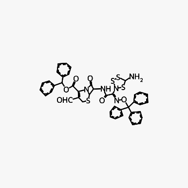 NC1SSN(C(=NOC(c2ccccc2)(c2ccccc2)c2ccccc2)C(=O)NC2C(=O)N3C(C(=O)OC(c4ccccc4)c4ccccc4)=C(C=O)CSC23)S1